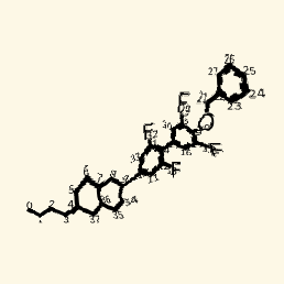 CCCCC1CCC2CC(c3cc(F)c(-c4cc(F)c(OCc5ccccc5)c(F)c4)c(F)c3)CCC2C1